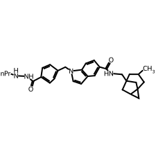 CCCNNC(=O)c1ccc(Cn2ccc3cc(C(=O)NCC45CC(C)CC6(CC6C4)C5)ccc32)cc1